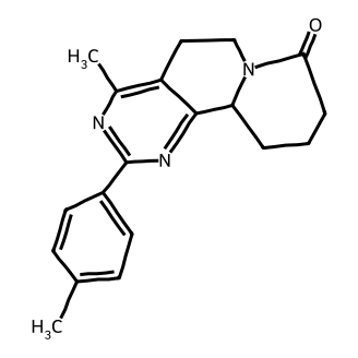 Cc1ccc(-c2nc(C)c3c(n2)C2CCCC(=O)N2CC3)cc1